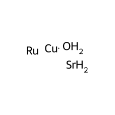 O.[Cu].[Ru].[SrH2]